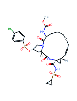 CC(C)(C)OC(=O)N[C@H]1CCCCC/C=C\[C@@H]2C[C@@]2(C(=O)NS(=O)(=O)C2CC2)NC(=O)[C@@H]2C[C@H](OS(=O)(=O)c3ccc(Br)cc3)CN2C1=O